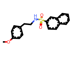 COc1ccc(CCNS(=O)(=O)c2ccc3ccccc3c2)cc1